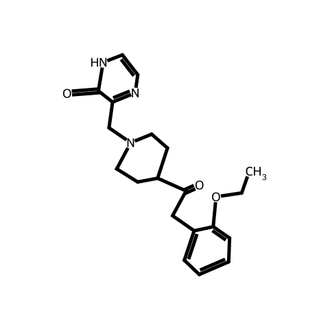 CCOc1ccccc1CC(=O)C1CCN(Cc2ncc[nH]c2=O)CC1